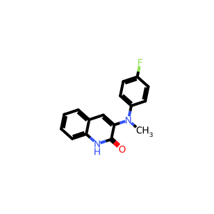 CN(c1ccc(F)cc1)c1cc2ccccc2[nH]c1=O